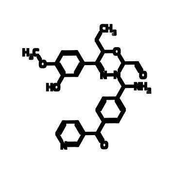 CCC1OC(C=O)N(C(N)c2ccc(C(=O)c3cccnc3)cc2)N=C1c1ccc(OC)c(O)c1